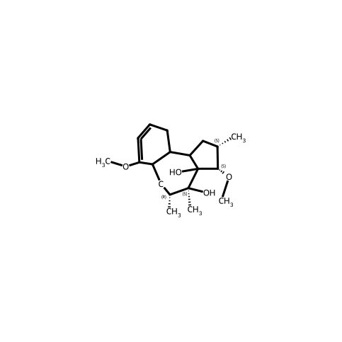 COC1=C=CCC2C1C[C@@H](C)[C@](C)(O)C1(O)C2C[C@H](C)[C@@H]1OC